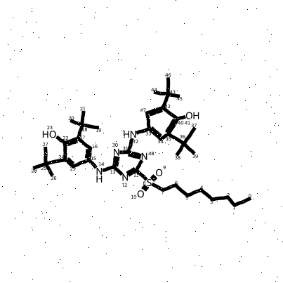 CCCCCCCCS(=O)(=O)c1nc(Nc2cc(C(C)(C)C)c(O)c(C(C)(C)C)c2)nc(Nc2cc(C(C)(C)C)c(O)c(C(C)(C)C)c2)n1